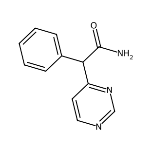 NC(=O)C(c1ccccc1)c1ccncn1